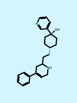 O[C@]1(c2cccnc2)CC[C@@H](CCC2CC(c3ccccc3)=CCN2)CC1